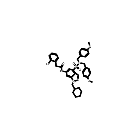 COc1ccc(CN(Cc2ccc(OC)cc2)S(=O)(=O)c2cc(NC(=O)Cc3ccccc3Cl)cc3c2cnn3CC2CCCCC2)cc1